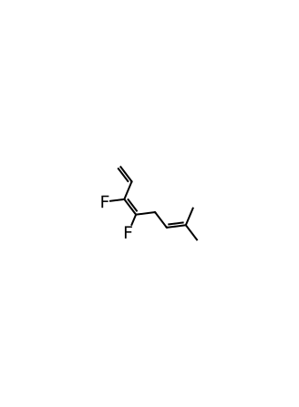 C=C/C(F)=C(/F)CC=C(C)C